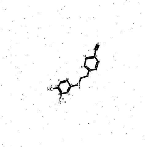 C#Cc1ccc(CCOc2ccc(C#N)c(C(F)(F)F)c2)cc1